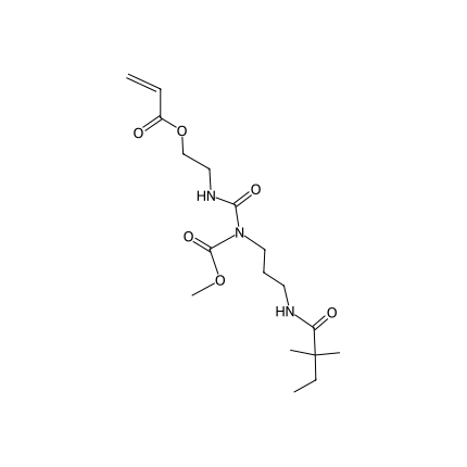 C=CC(=O)OCCNC(=O)N(CCCNC(=O)C(C)(C)CC)C(=O)OC